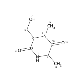 CC1NC(=O)C(CO)N(C)C1=O